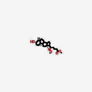 COO[C@H](CCCC(=O)OC)[C@@H]1CCC2C3CC[C@H]4C[C@@H](O)CC[C@]4(C)C3CC[C@@]21C